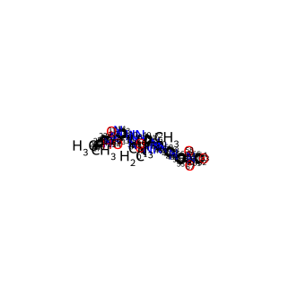 C=CC(=O)Nc1cc(Nc2nc(-c3ccnc(N4CCn5c(cc6c5CC(C)(C)C6)C4=O)c3CO)cn(C)c2=O)ccc1N1CCN(C2CCN(c3ccc4c(c3)C(=O)N(C3CCOCC3)C4=O)CC2)C[C@@H]1C